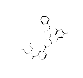 CCCN(CCC)C(=O)c1cc(C(=O)N[C@@H](Cc2cc(F)cc(F)c2)[C@H](O)CNCc2ccccc2)ccn1